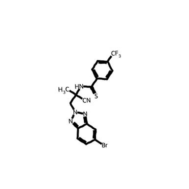 CC(C#N)(Cn1nc2ccc(Br)cc2n1)NC(=S)c1ccc(C(F)(F)F)cc1